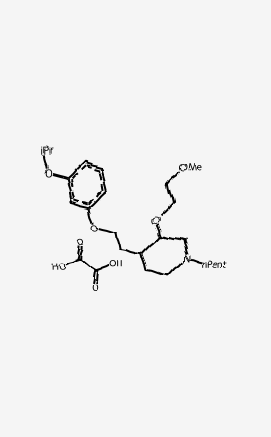 CCCCCN1CCC(CCOc2cccc(OC(C)C)c2)C(OCCOC)C1.O=C(O)C(=O)O